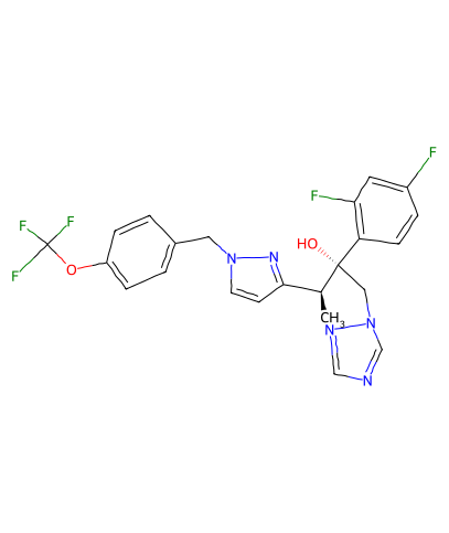 C[C@@H](c1ccn(Cc2ccc(OC(F)(F)F)cc2)n1)[C@](O)(Cn1cncn1)c1ccc(F)cc1F